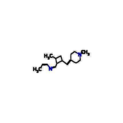 C/C=C\N=C/C1C(C)CC1C=C1CCN(C)CC1